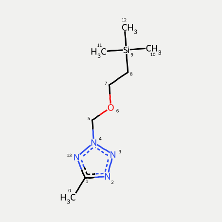 Cc1nnn(COCC[Si](C)(C)C)n1